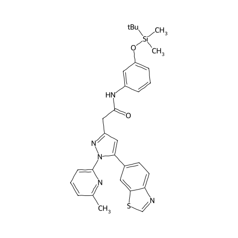 Cc1cccc(-n2nc(CC(=O)Nc3cccc(O[Si](C)(C)C(C)(C)C)c3)cc2-c2ccc3ncsc3c2)n1